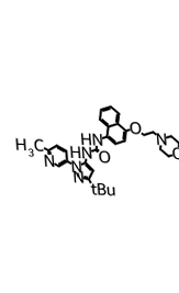 Cc1ccc(-n2nc(C(C)(C)C)cc2NC(=O)Nc2ccc(OCCN3CCOCC3)c3ccccc23)cn1